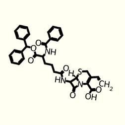 C=CC1=C(C(=O)O)N2C(=O)C(NC(=O)CCCC(NC(=O)c3ccccc3)C(=O)OC(c3ccccc3)c3ccccc3)[C@@H]2SC1